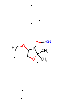 CO[C@@H]1COC(C)(C)B1OC#N